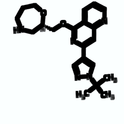 CC(C)(C)n1cc(-c2cc3ncccc3c(OC[C@@H]3CNCCCO3)n2)cn1